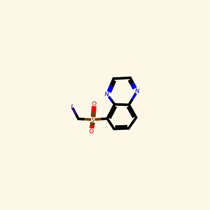 O=S(=O)(CI)c1cccc2nccnc12